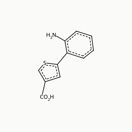 Nc1ccccc1-c1cc(C(=O)O)cs1